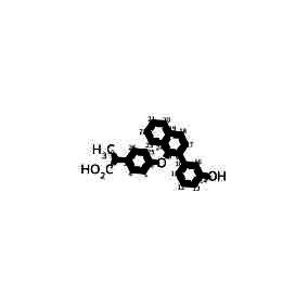 CC(C(=O)O)c1ccc(Oc2c(-c3cccc(O)c3)ccc3ccccc23)cc1